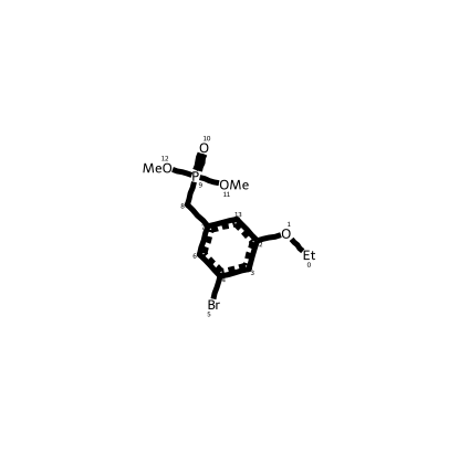 CCOc1cc(Br)cc(CP(=O)(OC)OC)c1